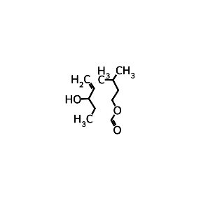 C=CC(O)CC.CC(C)CCOC=O